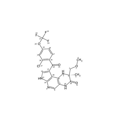 COC[C@]1(C)Nc2c(cnc3[nH]cc(C(=O)c4ccc(OC(F)(F)F)cc4Cl)c23)NC1=O